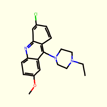 CCN1CCN(c2c3ccc(Cl)cc3nc3ccc(OC)cc23)CC1